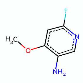 COc1cc(F)ncc1N